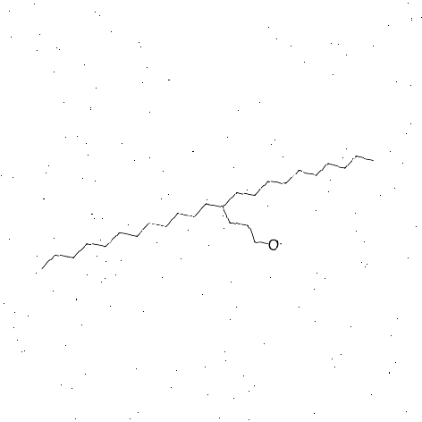 CCCCCCCCCCCCC(CCC[O])CCCCCCCCCC